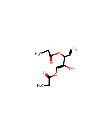 C=CC(OC(=O)CC)C(O)=COC(=O)CC